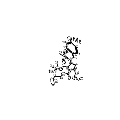 COc1ccc(CN([C@H]2C[C@@H](COC(C)=O)N(C(=O)OCCCl)[C@H]2CO[Si](C)(C)C(C)(C)C)S(C)(=O)=O)cc1